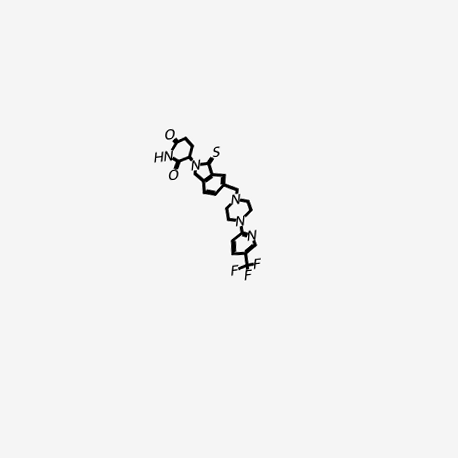 O=C1CCC(N2Cc3ccc(CN4CCN(c5ccc(C(F)(F)F)cn5)CC4)cc3C2=S)C(=O)N1